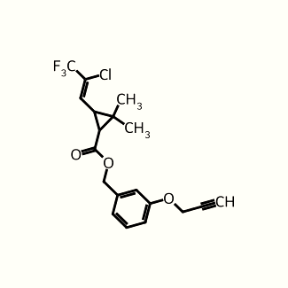 C#CCOc1cccc(COC(=O)C2C(C=C(Cl)C(F)(F)F)C2(C)C)c1